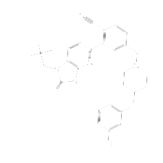 Cc1cccc([SiH2]C2CCN(Cc3ccc(C#N)c(-c4ccc5c(n4)n(C)c(=O)n5CC(C)(C)C)c3)CC2)c1C